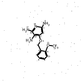 Nc1cc(OCc2ccccc2OC(F)(F)F)c(N)c(N)n1